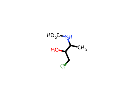 CC(NC(=O)O)C(O)CCl